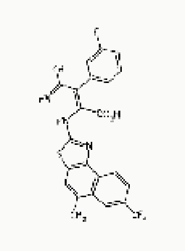 CC(=N)/C(=C(\Nc1nc2c(cc(C)c3cc(C(F)(F)F)ccc32)s1)C(=O)O)c1cccc(F)c1